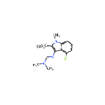 CCOC(=O)c1c(N=CN(C)C)c2c(F)cccc2n1C